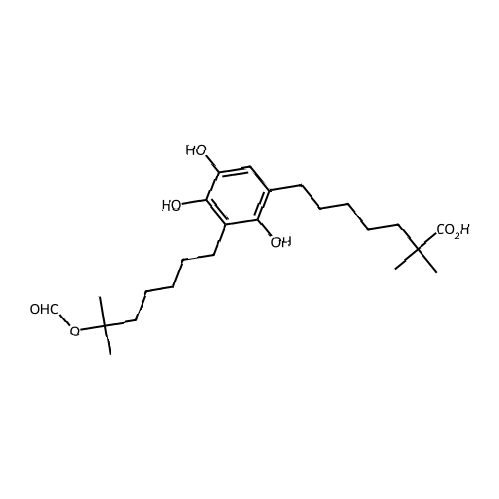 CC(C)(CCCCCc1c(O)c(O)cc(CCCCCC(C)(C)C(=O)O)c1O)OC=O